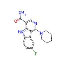 NC(=O)c1cnc(N2CCCCC2)c2c1[nH]c1ccc(F)cc12